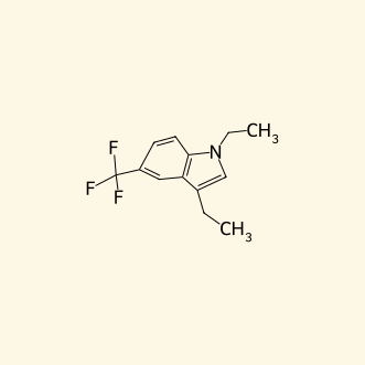 CCc1cn(CC)c2ccc(C(F)(F)F)cc12